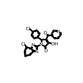 O=C(C1=C(O)C(=O)N(c2nc3c(Cl)cccc3s2)C1c1ccc(Cl)cc1)c1cccnc1